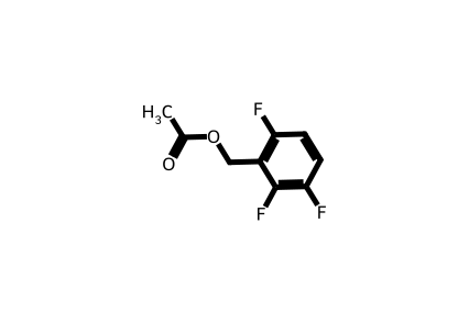 CC(=O)OCc1c(F)ccc(F)c1F